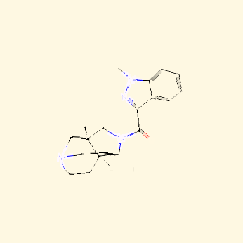 Cn1nc(C(=O)N2C[C@H]3C[N@]4CC[C@H]3[C@H]2C4)c2ccccc21